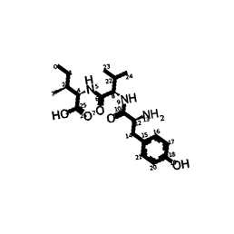 CC[C@H](C)[C@H](NC(=O)[C@@H](NC(=O)[C@@H](N)Cc1ccc(O)cc1)C(C)C)C(=O)O